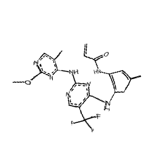 C=CC(=O)NC1=C(Nc2nc(Nc3nc(OC)ncc3C)ncc2C(F)(F)F)CC(C)=C1